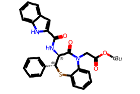 CC(C)(C)OC(=O)CN1C(=O)[C@H](NC(=O)c2cc3ccccc3[nH]2)[C@@H](c2ccccc2)Sc2ccccc21